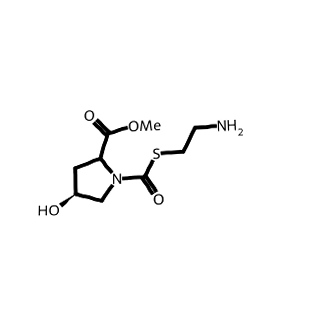 COC(=O)C1C[C@H](O)CN1C(=O)SCCN